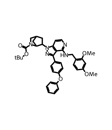 COc1ccc(CNc2nccc3c2c(-c2ccc(Oc4ccccc4)cc2)nn3C2CC3CC2N(C(=O)OC(C)(C)C)C3)c(OC)c1